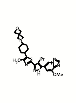 COc1cc(-c2[nH]nc(-c3nc(C)c(C4CCC(N5CC6(COC6)C5)CC4)s3)c2C(C)C)cn2ncnc12